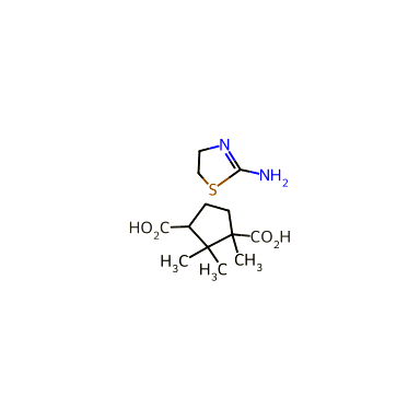 CC1(C(=O)O)CCC(C(=O)O)C1(C)C.NC1=NCCS1